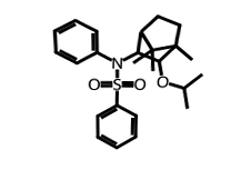 CC(C)OC1C(N(c2ccccc2)S(=O)(=O)c2ccccc2)C2CCC1(C)C2(C)C